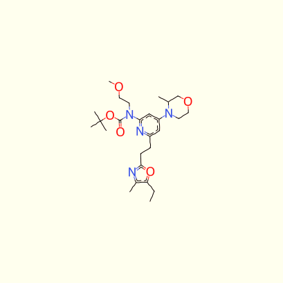 CCc1oc(CCc2cc(N3CCOCC3C)cc(N(CCOC)C(=O)OC(C)(C)C)n2)nc1C